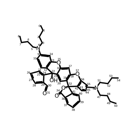 CCCCN(CCCC)c1ccc2c(c1)Oc1cc3c(cc1C2(O)c1ccccc1C=O)C1(OC(=O)c2ccccc21)c1ccc(N(CCCC)CCCC)cc1O3